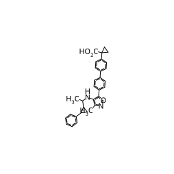 Cc1noc(-c2ccc(-c3ccc(C4(C(=O)O)CC4)cc3)cc2)c1NC(C)C1CC1c1ccccc1